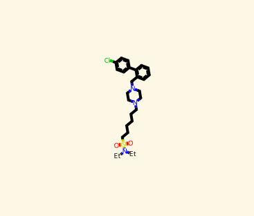 CCN(CC)S(=O)(=O)CCCCCCN1CCN(Cc2ccccc2-c2ccc(Cl)cc2)CC1